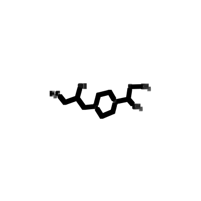 CCC(O)CN1CCN(C(C)SC)CC1